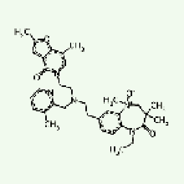 CCN1C(=O)C(C)(C)C[N+](C)([O-])c2cc(CCN(CCn3cc(C)c4oc(C)cc4c3=O)Cc3ncccc3C)ccc21